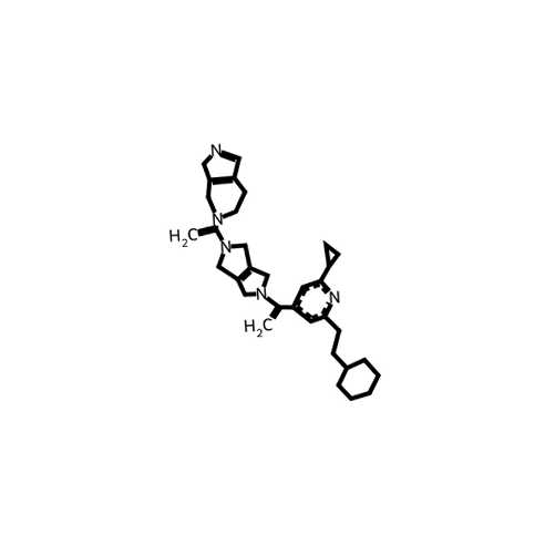 C=C(c1cc(CCC2CCCCC2)nc(C2CC2)c1)N1CC2=C(C1)CN(C(=C)N1CCC3=C(CN=C3)C1)C2